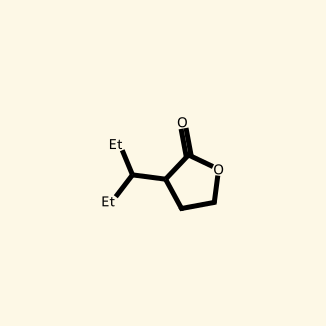 CCC(CC)C1CCOC1=O